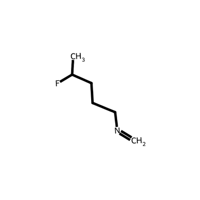 C=NCCCC(C)F